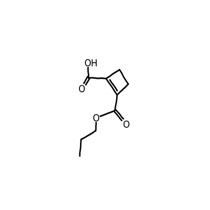 CCCOC(=O)C1=C(C(=O)O)CC1